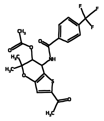 CC(=O)OC1C(NC(=O)c2ccc(C(F)(F)F)cc2)c2sc(C(C)=O)cc2OC1(C)C